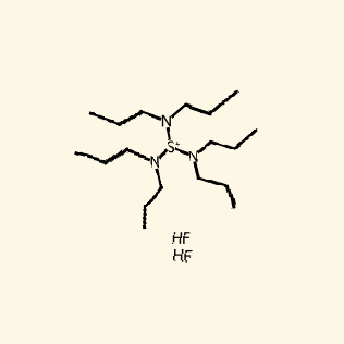 CCCN(CCC)[S+](N(CCC)CCC)N(CCC)CCC.F.F